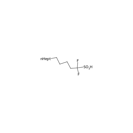 CCCCCCCCCCCC(F)(F)S(=O)(=O)O